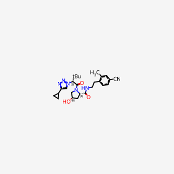 Cc1cc(C#N)ccc1CCNC(=O)[C@@H]1C[C@@H](O)CN1C(=O)[C@@H](n1cc(C2CC2)nn1)C(C)(C)C